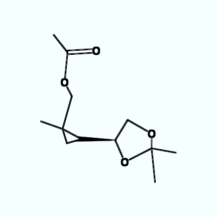 CC(=O)OCC1(C)CC1[C@H]1COC(C)(C)O1